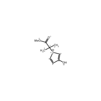 COC(=O)C(C)(C)[SH]1C=CC(O)=C1